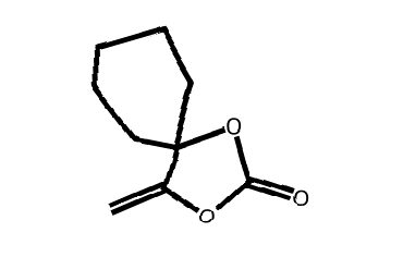 C=C1OC(=O)OC12CCCCC2